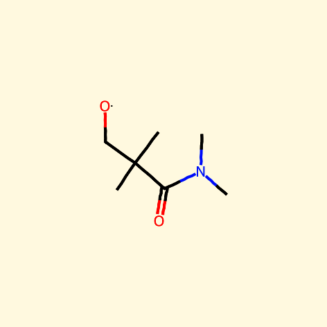 CN(C)C(=O)C(C)(C)C[O]